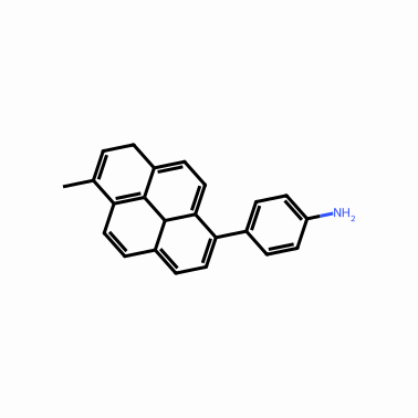 CC1=CCC2=CC=C3C(c4ccc(N)cc4)=CC=C4C=CC1=C2C43